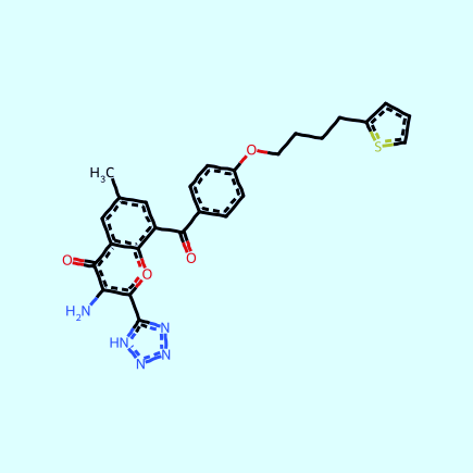 Cc1cc(C(=O)c2ccc(OCCCCc3cccs3)cc2)c2oc(-c3nnn[nH]3)c(N)c(=O)c2c1